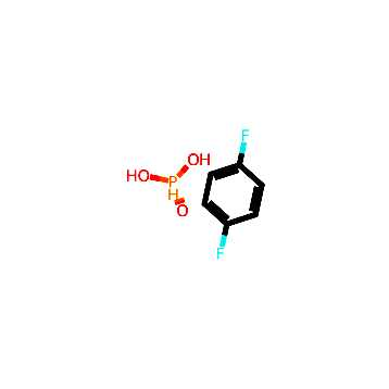 Fc1ccc(F)cc1.O=[PH](O)O